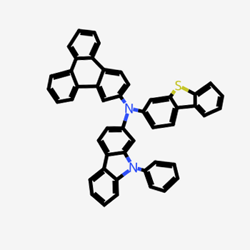 c1ccc(-n2c3ccccc3c3ccc(N(c4ccc5c(c4)sc4ccccc45)c4ccc5c6ccccc6c6ccccc6c5c4)cc32)cc1